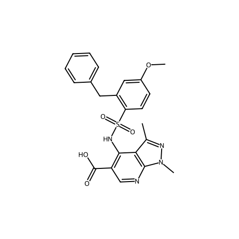 COc1ccc(S(=O)(=O)Nc2c(C(=O)O)cnc3c2c(C)nn3C)c(Cc2ccccc2)c1